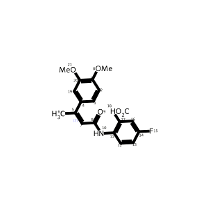 COc1ccc(/C(C)=C\C(=O)Nc2ccc(F)cc2C(=O)O)cc1OC